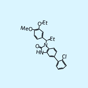 CCOc1cc([C@@H](CC)n2c(=O)[nH]c3cc(-c4ccccc4Cl)ccc32)ccc1OC